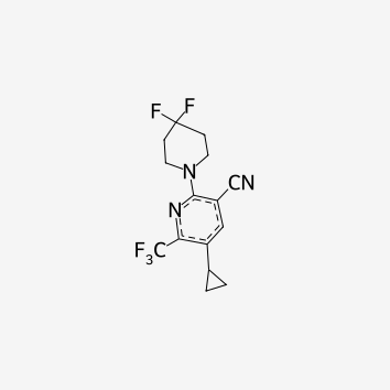 N#Cc1cc(C2CC2)c(C(F)(F)F)nc1N1CCC(F)(F)CC1